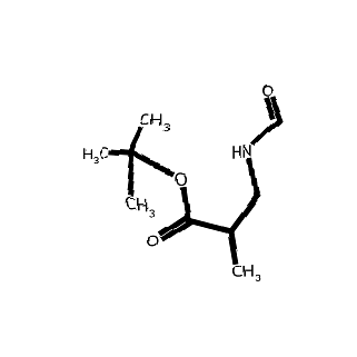 CC(CNC=O)C(=O)OC(C)(C)C